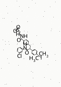 CC(C)(I)c1ccc(C(Cc2ccc(C(=O)NCC[SH](=O)=O)cc2)C(=O)Nc2cccc(Cl)c2)cc1